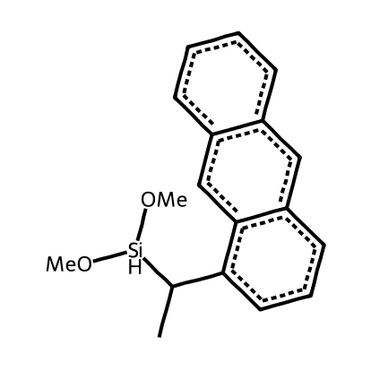 CO[SiH](OC)C(C)c1cccc2cc3ccccc3cc12